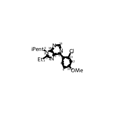 CCCC(C)n1c(CC)nc2c(-c3ccc(OC)cc3Cl)ncnc21